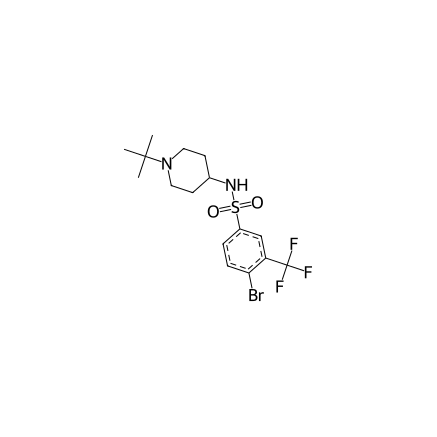 CC(C)(C)N1CCC(NS(=O)(=O)c2ccc(Br)c(C(F)(F)F)c2)CC1